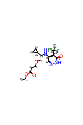 CCOC(=O)CCOC[C@@H](Nc1cn[nH]c(=O)c1C(F)(F)F)C1CC1